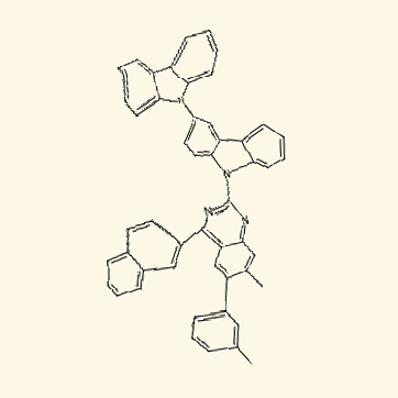 Cc1cccc(-c2cc3c(-c4ccc5ccccc5c4)nc(-n4c5ccccc5c5cc(-n6c7ccccc7c7ccccc76)ccc54)nc3cc2C)c1